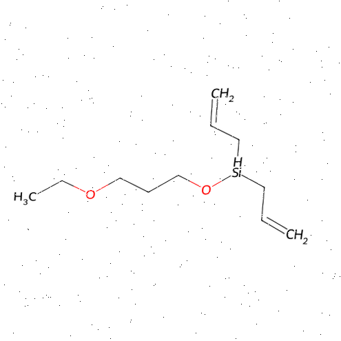 C=CC[SiH](CC=C)OCCCOCC